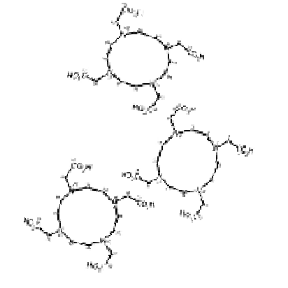 O=C(O)CN1CCN(CC(=O)O)CCN(CC(=O)O)CCN(CC(=O)O)CC1.O=C(O)CN1CCN(CC(=O)O)CCN(CC(=O)O)CCN(CC(=O)O)CC1.O=C(O)CN1CCN(CC(=O)O)CCN(CC(=O)O)CCN(CC(=O)O)CC1